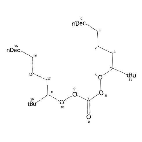 CCCCCCCCCCCCCC(OOC(=O)OOC(CCCCCCCCCCCCC)C(C)(C)C)C(C)(C)C